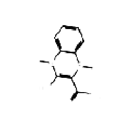 CC1=C(C(N)=O)N(O)c2ccccc2N1O